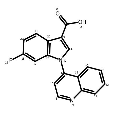 O=C(O)c1cn(-c2ccnc3ccccc23)c2cc(F)ccc12